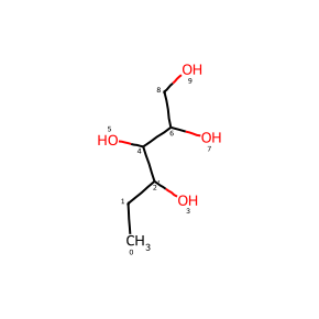 CC[C](O)C(O)C(O)CO